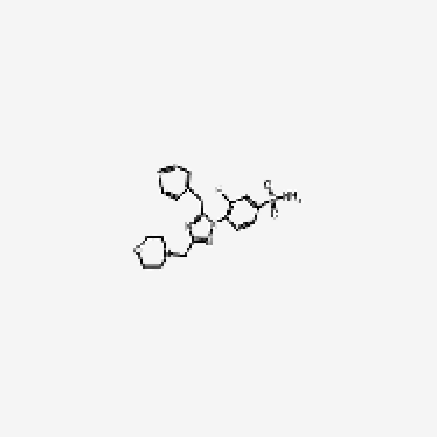 NS(=O)(=O)c1ccc(-n2nc(CN3CCOCC3)nc2Cc2ccccc2)c(F)c1